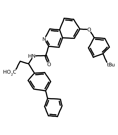 CC(C)(C)c1ccc(Oc2ccc3cnc(C(=O)NC(CC(=O)O)c4ccc(-c5ccccc5)cc4)cc3c2)cc1